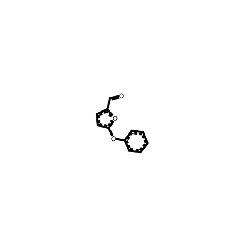 O=Cc1ccc(Oc2ccccc2)o1